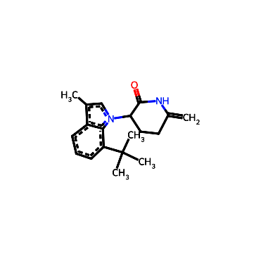 C=C1CCC(n2cc(C)c3cccc(C(C)(C)C)c32)C(=O)N1